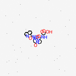 O=CC(CC(=O)O)NC(=O)C1CCCN2C(=O)CCN(NC(=O)c3cccc4cccnc34)C(=O)N12